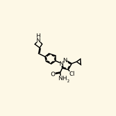 NC(=O)c1c(Cl)c(C2CC2)nn1-c1ccc(C=C2CNC2)cc1